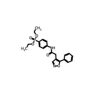 CCOP(=O)(OCC)c1ccc(NC(=O)Cc2cnoc2-c2ccccc2)cc1